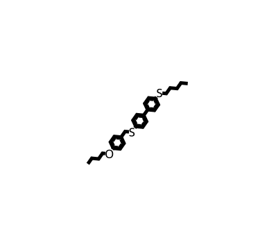 CCCCCSc1ccc(-c2ccc(SCc3ccc(OCCCC)cc3)cc2)cc1